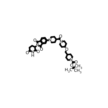 CC(C)(C)OC(=O)N1CCC(COC2CCN(C(=O)C3CCN(c4ccc5c(c4)C(=O)N(C4CCC(=O)NC4=O)C5=O)CC3)CC2)CC1